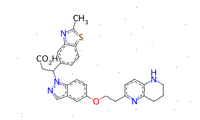 Cc1nc2cc(C(CC(=O)O)n3ncc4cc(OCCc5ccc6c(n5)CCCN6)ccc43)ccc2s1